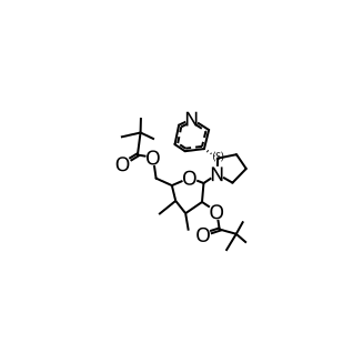 CC1C(COC(=O)C(C)(C)C)OC(N2CCC[C@H]2c2cccnc2)C(OC(=O)C(C)(C)C)C1C